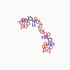 CCOC(=O)C(C(=O)Nc1cc(NC(=O)OCC(C)OC(C)(C)CC(C)OC(C)(C)CC(C)OC(=O)Nc2ccc(C)c(NC(=O)C(C(=O)OCC)C(=O)OCC)c2)ccc1C)C(=O)OCC